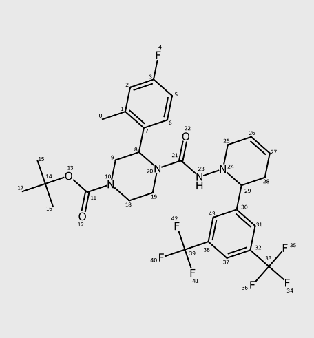 Cc1cc(F)ccc1C1CN(C(=O)OC(C)(C)C)CCN1C(=O)NN1CC=CCC1c1cc(C(F)(F)F)cc(C(F)(F)F)c1